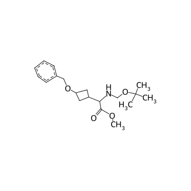 COC(=O)C(NCOC(C)(C)C)C1CC(OCc2ccccc2)C1